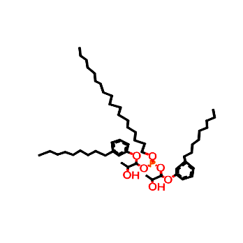 CCCCCCCCCCCCCCCCCCOP(OC(Oc1cccc(CCCCCCCCC)c1)C(C)O)OC(Oc1cccc(CCCCCCCCC)c1)C(C)O